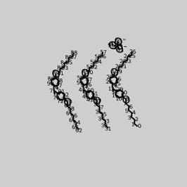 CCCCCCCCOc1ccc([I+]c2ccc(OCCCCCCCC)cc2)cc1.CCCCCCCCOc1ccc([I+]c2ccc(OCCCCCCCC)cc2)cc1.CCCCCCCCOc1ccc([I+]c2ccc(OCCCCCCCC)cc2)cc1.[O-][Sb]([O-])[O-]